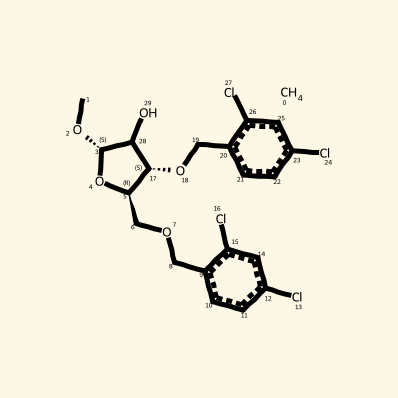 C.CO[C@H]1O[C@H](COCc2ccc(Cl)cc2Cl)[C@@H](OCc2ccc(Cl)cc2Cl)C1O